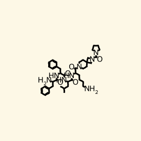 CC(C)CC(NC(=O)C(Cc1ccccc1)NC(=O)C(N)Cc1ccccc1)C(=O)NC(CCCCN)C(=O)N1CCC2(CC1)CN(C(=O)N1CCCC1)C2